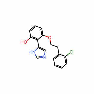 Oc1cccc(OCCc2ccccc2Cl)c1-c1cnc[nH]1